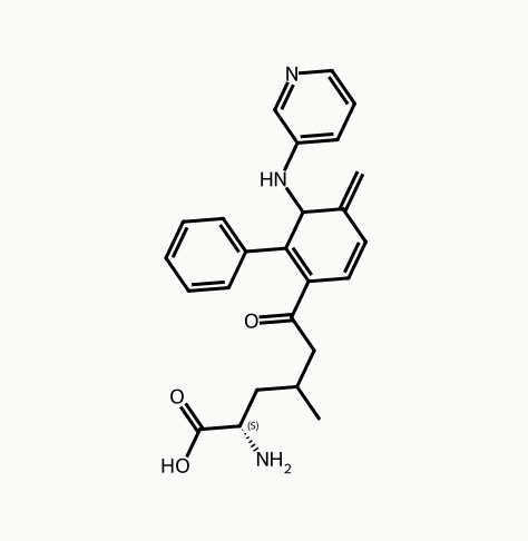 C=C1C=CC(C(=O)CC(C)C[C@H](N)C(=O)O)=C(c2ccccc2)C1Nc1cccnc1